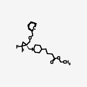 CCOC(=O)CCCC1CCN(C[C@@]2(COCc3ccccc3)CC2(F)F)CC1